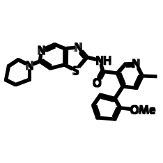 COc1ccccc1-c1cc(C)ncc1C(=O)Nc1nc2cnc(N3CCCCC3)cc2s1